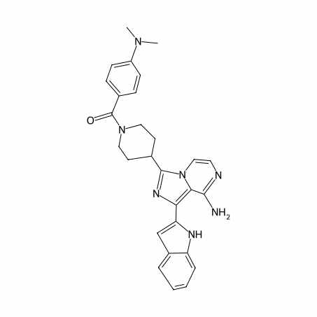 CN(C)c1ccc(C(=O)N2CCC(c3nc(-c4cc5ccccc5[nH]4)c4c(N)nccn34)CC2)cc1